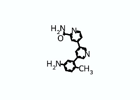 Cc1ccc(N)cc1-c1cncc(-c2ccnc(C(N)=O)c2)c1